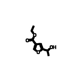 CCOC(=O)c1coc(C(C)O)c1